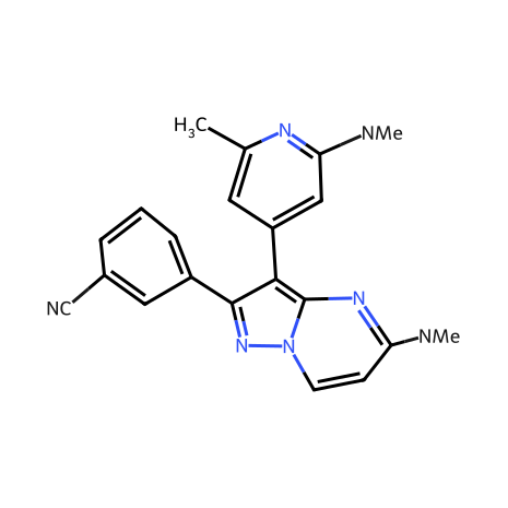 CNc1cc(-c2c(-c3cccc(C#N)c3)nn3ccc(NC)nc23)cc(C)n1